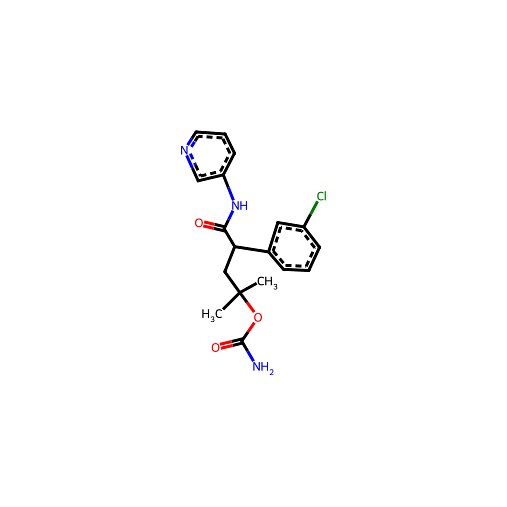 CC(C)(CC(C(=O)Nc1cccnc1)c1cccc(Cl)c1)OC(N)=O